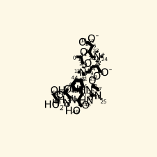 CC(COC(CC(=O)[O-])C[N+](C)(C)C)OC(CC(=O)[O-])C[N+](C)(C)C.CN1CC(=O)NC1=N.NCC(=O)O.N[C@@H](Cc1ccccc1)C(=O)O.OCCO